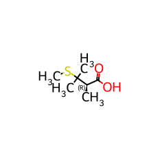 CSC(C)(C)[C@H](C)C(=O)O